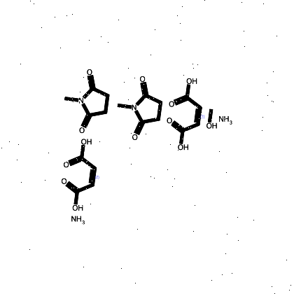 CN1C(=O)CCC1=O.CN1C(=O)CCC1=O.CO.N.N.O=C(O)/C=C\C(=O)O.O=C(O)/C=C\C(=O)O